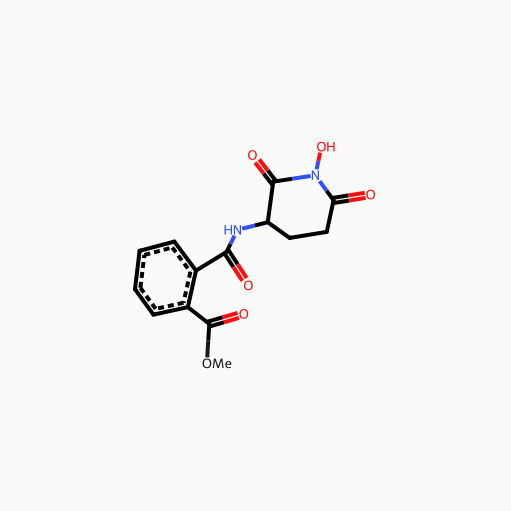 COC(=O)c1ccccc1C(=O)NC1CCC(=O)N(O)C1=O